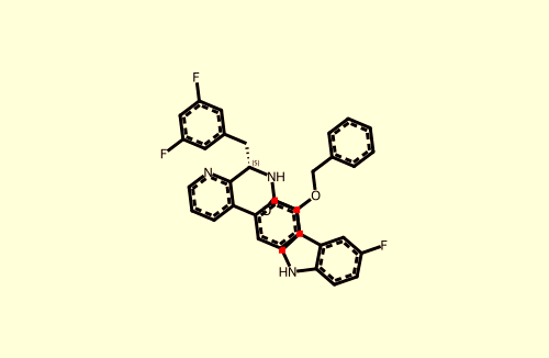 O=C(CC1CNc2ccc(F)cc21)N[C@@H](Cc1cc(F)cc(F)c1)c1ncccc1-c1cccc(OCc2ccccc2)c1